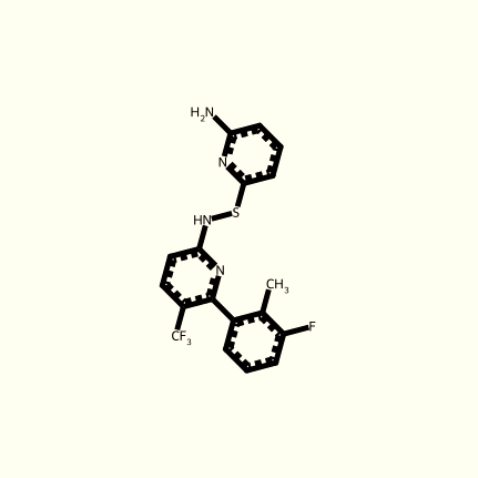 Cc1c(F)cccc1-c1nc(NSc2cccc(N)n2)ccc1C(F)(F)F